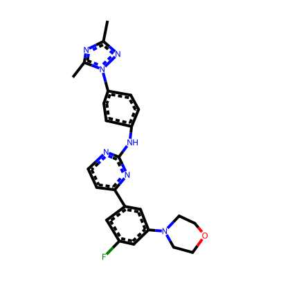 Cc1nc(C)n(-c2ccc(Nc3nccc(-c4cc(F)cc(N5CCOCC5)c4)n3)cc2)n1